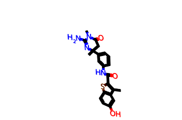 Cc1c(C(=O)Nc2cccc(C3(C)CC(=O)N(C)C(N)=N3)c2)sc2ccc(O)cc12